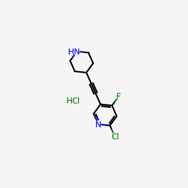 Cl.Fc1cc(Cl)ncc1C#CC1CCNCC1